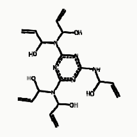 C=CC(O)Nc1nc(N(C(O)C=C)C(O)C=C)nc(N(C(O)C=C)C(O)C=C)n1